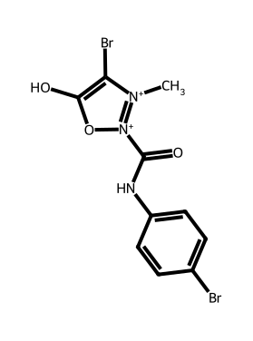 C[n+]1c(Br)c(O)o[n+]1C(=O)Nc1ccc(Br)cc1